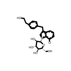 OCCc1ccc(Cc2cn([C@@H]3O[C@H](CO)[C@@H](O)[C@H](O)[C@H]3O)c3c(Cl)cccc23)cc1